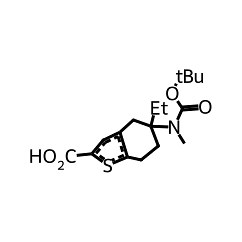 CCC1(N(C)C(=O)OC(C)(C)C)CCc2sc(C(=O)O)cc2C1